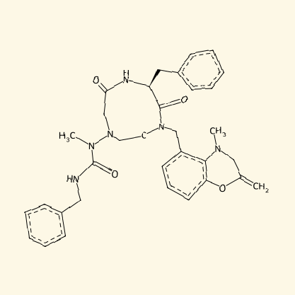 C=C1CN(C)c2c(CN3CCN(N(C)C(=O)NCc4ccccc4)CC(=O)N[C@@H](Cc4ccccc4)C3=O)cccc2O1